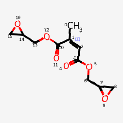 C/C(=C/C(=O)OCC1CO1)C(=O)OCC1CO1